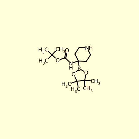 CC(C)(C)OC(=O)NC1(B2OC(C)(C)C(C)(C)O2)CCNCC1